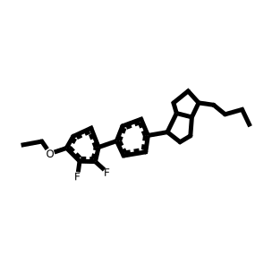 CCCCC1CCC2C(c3ccc(-c4ccc(OCC)c(F)c4F)cc3)CCC12